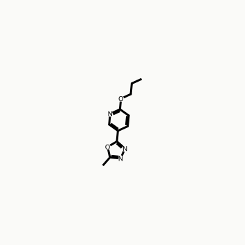 CCCOc1ccc(-c2nnc(C)o2)cn1